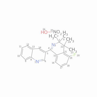 CC1(C)N=C(c2cnc3ccccc3c2)c2cccc(F)c2C1(C)C.O=[N+]([O-])O